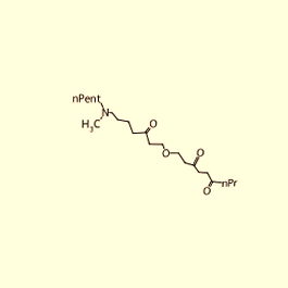 CCCCCN(C)CCCCC(=O)CCOCCC(=O)CCC(=O)CCC